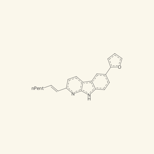 CCCCCC=Cc1ccc2c(n1)[nH]c1ccc(-c3ccco3)cc12